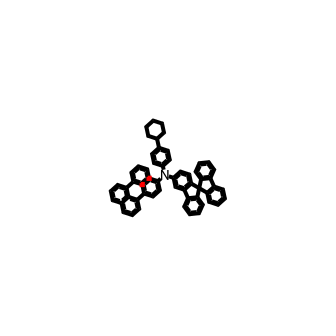 c1ccc(-c2cccc3cccc(-c4ccc(N(c5ccc(C6CCCCC6)cc5)c5ccc6c(c5)-c5ccccc5C65c6ccccc6-c6ccccc65)cc4)c23)cc1